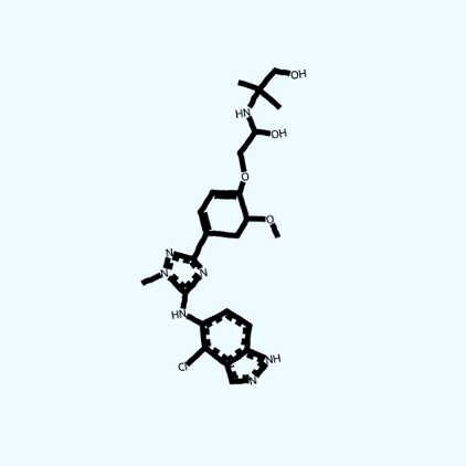 COC1CC(c2nc(Nc3ccc4[nH]ncc4c3Cl)n(C)n2)=CC=C1OCC(O)NC(C)(C)CO